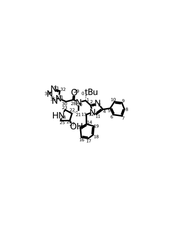 CC(C)(C)[C@H](c1nc(-c2ccccc2)cn1Cc1ccccc1)N(C[C@H]1CNC[C@@H]1O)C(=O)Cn1cnnn1